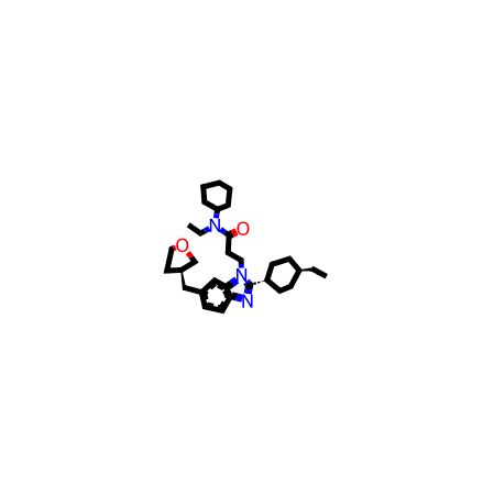 CCN(C(=O)CCn1c2cc(C[C@H]3CCOC3)ccc2nc1[C@H]1CC[C@H](CC)CC1)C1CCCCC1